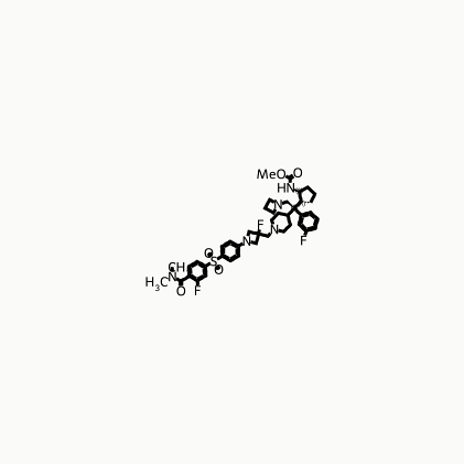 COC(=O)N[C@H]1CCC[C@@H]1[C@](CN1CCC1)(c1cccc(F)c1)C1CCN(CC2(F)CN(c3ccc(S(=O)(=O)c4ccc(C(=O)N(C)C)c(F)c4)cc3)C2)CC1